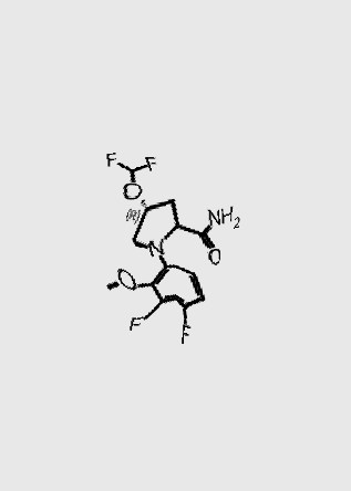 COc1c(N2C[C@H](OC(F)F)CC2C(N)=O)ccc(F)c1F